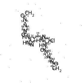 C=CC(=O)N1CC(N2CCN(C(=O)CNc3cc(C4CC4c4nc5cc(Cl)cc(NCC(=O)N6CCN(C7CN(C(=O)C=C)C7)CC6)c5[nH]4)cc4nc[nH]c34)CC2)C1